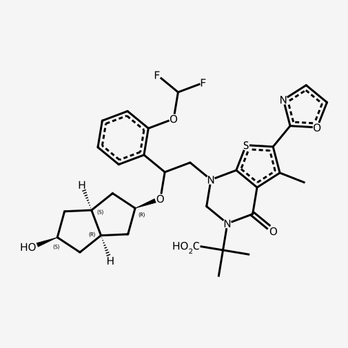 Cc1c(-c2ncco2)sc2c1C(=O)N(C(C)(C)C(=O)O)CN2CC(O[C@H]1C[C@H]2C[C@@H](O)C[C@H]2C1)c1ccccc1OC(F)F